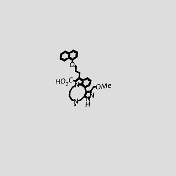 COCc1n[nH]c2c1-c1cccc3c(CCCOc4cccc5ccccc45)c(C(=O)O)n(c13)CCCCN(C)C2